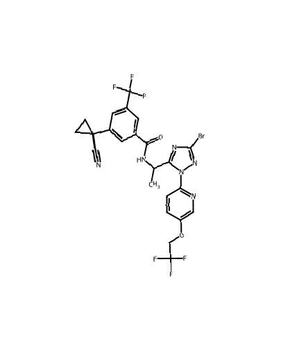 CC(NC(=O)c1cc(C(F)(F)F)cc(C2(C#N)CC2)c1)c1nc(Br)nn1-c1ccc(OCC(F)(F)F)cn1